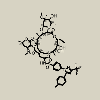 CC[C@H]1OC(=O)[C@H](C)[C@@H](O[C@H]2C[C@@](C)(OC)[C@@H](O)[C@H](C)O2)[C@H](C)[C@@H](O[C@@H]2O[C@H](C)CC(N(C)C)[C@H]2OC(=O)CCC(=O)NS(=O)(=O)c2ccc(-n3nc(C(F)(F)F)cc3-c3ccc(C)cc3)cc2)[C@](C)(O)C[C@@H](C)CN(C)[C@H](C)[C@@H](O)[C@]1(C)O